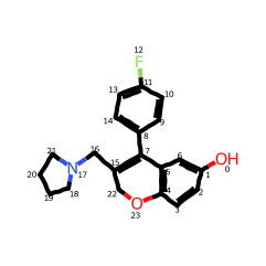 Oc1ccc2c(c1)C(c1ccc(F)cc1)=C(CN1CCCC1)CO2